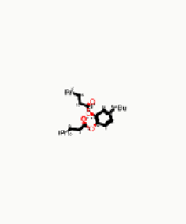 CCCCc1ccc(OC(=O)CCC(C)C)c(OC(=O)CCC(C)C)c1